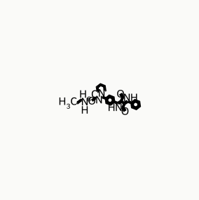 CCCNCO/C=N/C(c1ccc(C2=C3C(=O)NC(c4ccccc4)=C3C(=O)N2)cc1)N1CCCCC1C